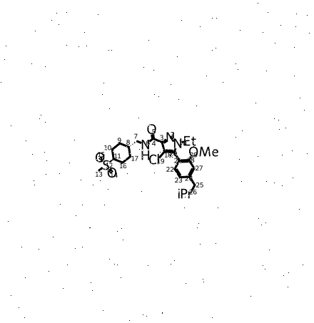 CCn1nc(C(=O)NC[C@H]2CC[C@H](S(C)(=O)=O)CC2)c(Cl)c1-c1ccc(CC(C)C)cc1OC